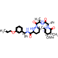 C=CCOc1cccc([C@H](NC(=O)C2CCCN(C(=O)C(C)NC(=O)[C@@H](NC(=O)[C@H](C)[C@@H](/C=C/C)OC)C(C)C)N2)C(C)C)c1